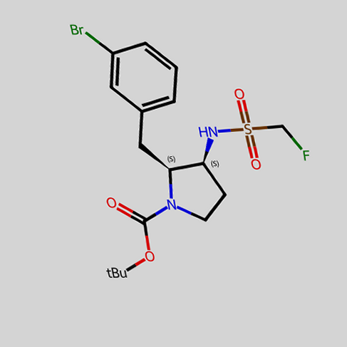 CC(C)(C)OC(=O)N1CC[C@H](NS(=O)(=O)CF)[C@@H]1Cc1cccc(Br)c1